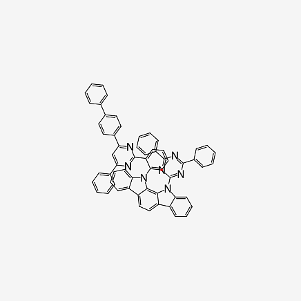 c1ccc(-c2ccc(-c3cc(-c4ccccc4)nc(-c4ccccc4-n4c5ccccc5c5ccc6c7ccccc7n(-c7nc(-c8ccccc8)nc(-c8ccccc8)n7)c6c54)n3)cc2)cc1